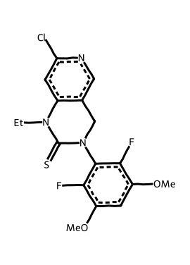 CCN1C(=S)N(c2c(F)c(OC)cc(OC)c2F)Cc2cnc(Cl)cc21